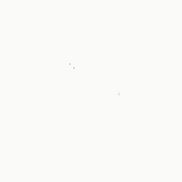 CC1c2cc(Br)ccc2CN1C